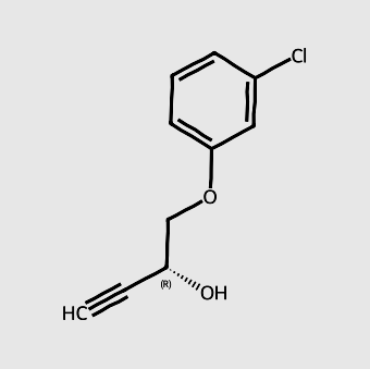 C#C[C@@H](O)COc1cccc(Cl)c1